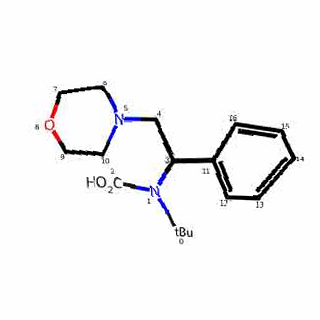 CC(C)(C)N(C(=O)O)C(CN1CCOCC1)c1ccccc1